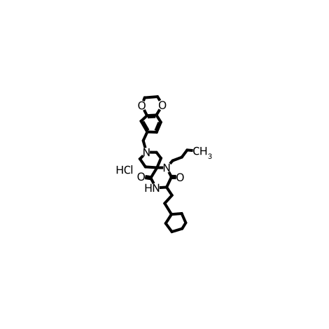 CCCCN1C(=O)C(CCC2CCCCC2)NC(=O)C12CCN(Cc1ccc3c(c1)OCCO3)CC2.Cl